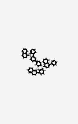 c1ccc(-c2ccc(N(c3ccc(-c4ccc5c(c4)c4ccccc4n5-c4cccc5ccccc45)cc3)c3cccc4c3oc3c5ccccc5ccc43)c3ccccc23)cc1